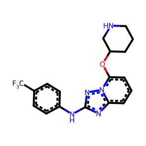 FC(F)(F)c1ccc(Nc2nc3cccc(OC4CCCNC4)n3n2)cc1